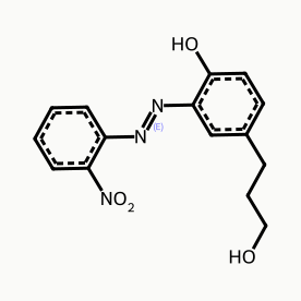 O=[N+]([O-])c1ccccc1/N=N/c1cc(CCCO)ccc1O